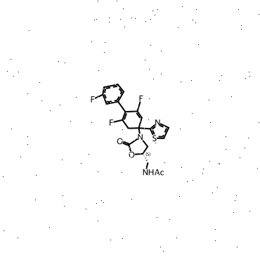 CC(=O)NC[C@H]1CN(C2(c3nccs3)C=C(F)C(c3cccc(F)c3)=C(F)C2)C(=O)O1